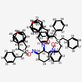 c1ccc(C[Si](Cc2ccccc2)(Cc2ccccc2)O/N=C2/CCCC(=N\O[Si](Cc3ccccc3)(Cc3ccccc3)Cc3ccccc3)/C2=N/O[Si](Cc2ccccc2)(Cc2ccccc2)Cc2ccccc2)cc1